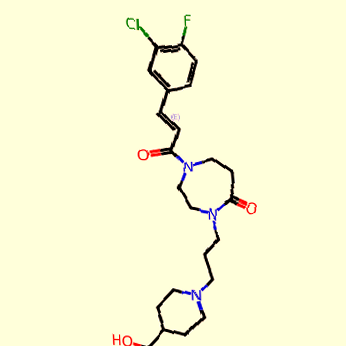 O=C(/C=C/c1ccc(F)c(Cl)c1)N1CCC(=O)N(CCCN2CCC(CO)CC2)CC1